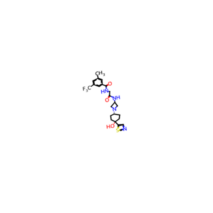 Cc1cc(C(=O)NCC(=O)NC2CN([C@H]3CC[C@@](O)(c4cncs4)CC3)C2)cc(C(F)(F)F)c1